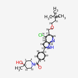 CC1(O)CCN(C(=O)c2ccc(-c3cc4c(Cl)c(COCC[Si](C)(C)C)cnc4[nH]3)cc2)CC1